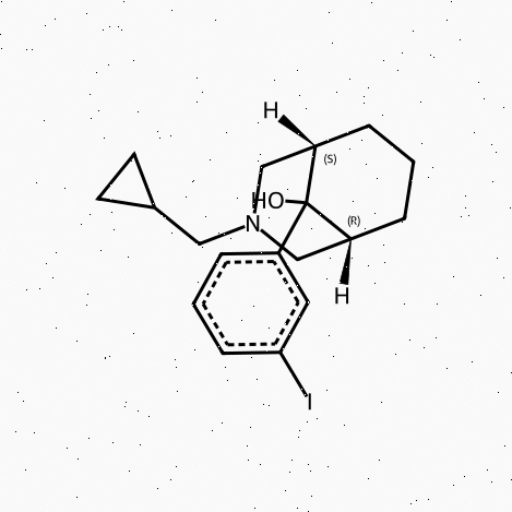 OC1(c2cccc(I)c2)[C@@H]2CCC[C@H]1CN(CC1CC1)C2